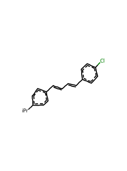 CC(C)c1ccc(/C=C/C=C/c2ccc(Cl)cc2)cc1